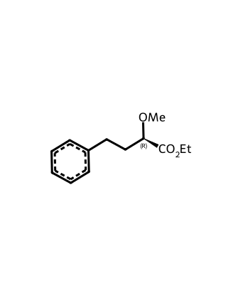 CCOC(=O)[C@@H](CCc1ccccc1)OC